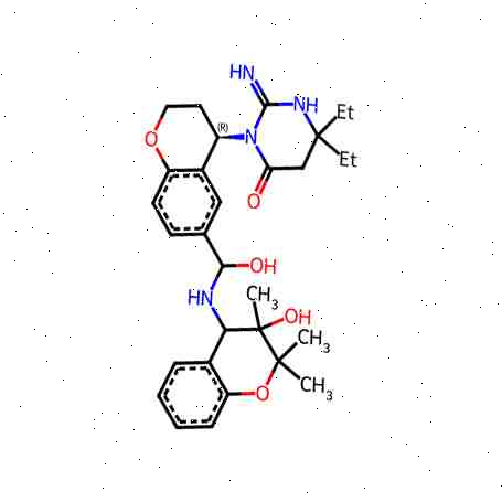 CCC1(CC)CC(=O)N([C@@H]2CCOc3ccc(C(O)NC4c5ccccc5OC(C)(C)C4(C)O)cc32)C(=N)N1